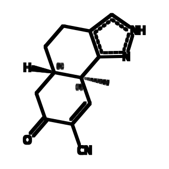 C[C@]12C=C(C#N)C(=O)C[C@@H]1CCc1c[nH]nc12